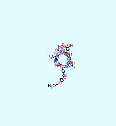 CCCCCOc1ccc(-c2cc(-c3ccc(C(=O)N[C@@H]4C[C@@H](O)C(O)NC(=O)[C@@H]5CC(C)CN5C(=O)[C@H](C(O)CC(N)=O)NC(=O)[C@H](C(O)C(O)c5ccc(O)c(OS(=O)(=O)O)c5)NC(=O)[C@@H]5CCCN5C(=O)[C@H](C(C)O)NC4=O)cc3)no2)cc1